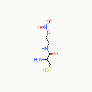 NC(CS)C(=O)NCCO[N+](=O)[O-]